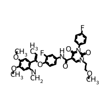 C=Nc1cc(OC)c(OC)cc1/C(=C\C)Oc1ccc(NC(=O)c2cn(CCOC)c(=O)n(-c3ccc(F)cc3)c2=O)cc1F